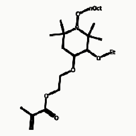 C=C(C)C(=O)OCCOC1CC(C)(C)N(OCCCCCCCC)C(C)(C)C1OCC